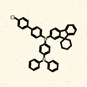 Clc1ccc(-c2ccc(N(c3ccc(N(c4ccccc4)c4ccccc4)cc3)c3ccc4c(c3)C3(CCCCC3)c3ccccc3-4)cc2)cc1